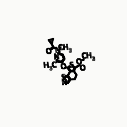 CCOC(=O)c1sc(Oc2ccc(N(C)C(=O)C3CC3)nc2C)c2c1CCc1cnsc1-2